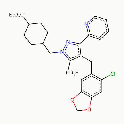 CCOC(=O)C1CCC(Cn2nc(-c3ccccn3)c(Cc3cc4c(cc3Cl)OCO4)c2C(=O)O)CC1